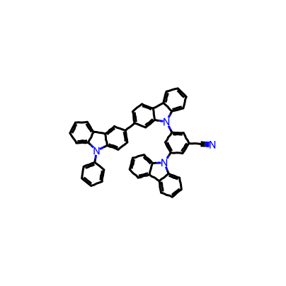 N#Cc1cc(-n2c3ccccc3c3ccccc32)cc(-n2c3ccccc3c3ccc(-c4ccc5c(c4)c4ccccc4n5-c4ccccc4)cc32)c1